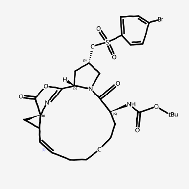 CC(C)(C)OC(=O)N[C@H]1CCCCC/C=C\C2C[C@@]23N=C(OC3=O)[C@@H]2C[C@H](OS(=O)(=O)c3ccc(Br)cc3)CN2C1=O